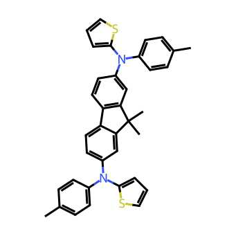 Cc1ccc(N(c2ccc3c(c2)C(C)(C)c2cc(N(c4ccc(C)cc4)c4cccs4)ccc2-3)c2cccs2)cc1